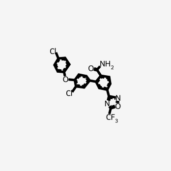 NC(=O)c1ccc(-c2noc(C(F)(F)F)n2)cc1-c1ccc(Oc2ccc(Cl)cc2)c(Cl)c1